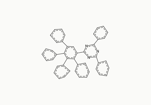 c1ccc(-c2nc(-c3ccccc3)nc(-c3cc(-c4ccccc4)c(-c4ccccc4)c(-c4ccccc4)c3-c3ccccc3)n2)cc1